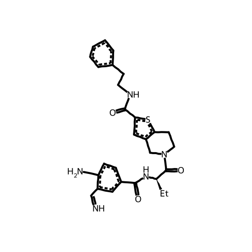 CC[C@@H](NC(=O)c1ccc(N)c(C=N)c1)C(=O)N1CCc2sc(C(=O)NCCc3ccccc3)cc2C1